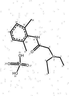 CCN(CC)CC(=O)Nc1c(C)cccc1C.O=S(=O)(O)O